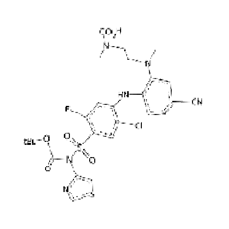 CN(CCN(C)c1cc(C#N)ccc1Nc1cc(F)c(S(=O)(=O)N(C(=O)OC(C)(C)C)c2cscn2)cc1Cl)C(=O)O